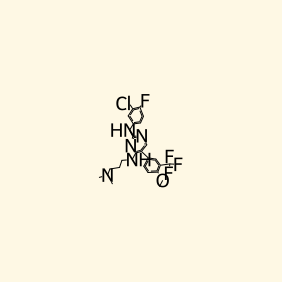 COc1ccc(-c2cnc(Nc3ccc(F)c(Cl)c3)nc2NCCCN(C)C)cc1C(F)(F)F